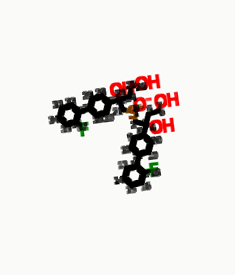 [O-][S+](CC(O)(CCO)c1ccc(-c2ccccc2F)cc1)CC(O)(CCO)c1ccc(-c2ccccc2F)cc1